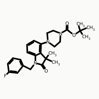 CC(C)(C)OC(=O)N1CCN(c2cccc3c2C(C)(C)C(=O)N3Cc2cccc(F)c2)CC1